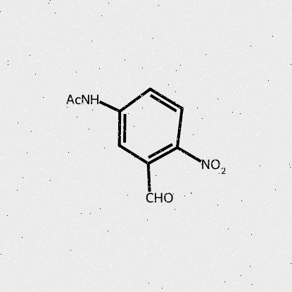 CC(=O)Nc1ccc([N+](=O)[O-])c(C=O)c1